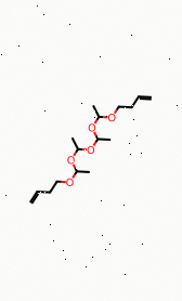 C=CCCOC(C)OC(C)OC(C)OC(C)OCCC=C